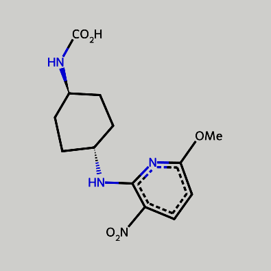 COc1ccc([N+](=O)[O-])c(N[C@H]2CC[C@H](NC(=O)O)CC2)n1